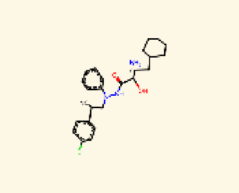 N#CC(CN(NC(=O)C(O)[C@H](N)CC1CCCCC1)c1ccccc1)c1ccc(Cl)cc1